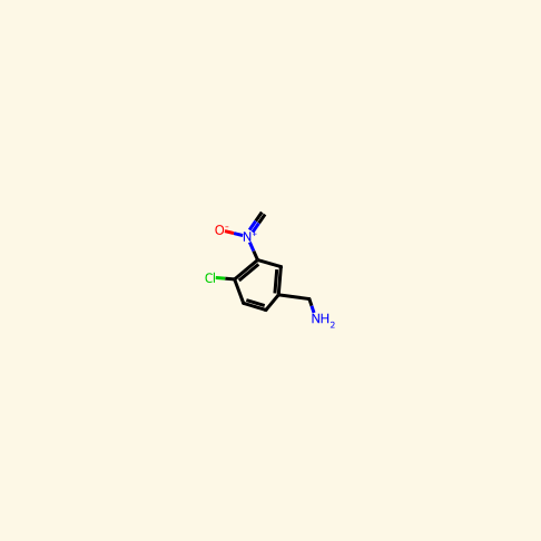 C=[N+]([O-])c1cc(CN)ccc1Cl